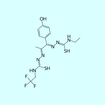 CCN/C(S)=N/N=C(/C(C)=N/N=C(\S)NCC(F)(F)F)c1ccc(O)cc1